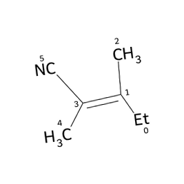 CCC(C)=C(C)C#N